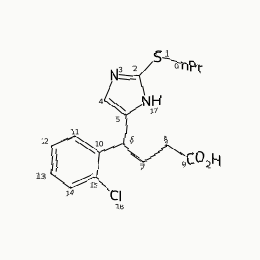 CCCSc1ncc(C(CCC(=O)O)c2ccccc2Cl)[nH]1